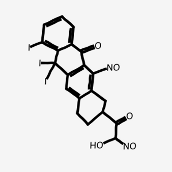 O=Nc1c2c(cc3c1C(=O)c1cccc(I)c1C3(I)I)CCC(C(=O)C(O)N=O)C2